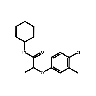 Cc1cc(OC(C)C(=O)NC2CCCCC2)ccc1Cl